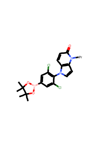 CC(C)n1c(=O)ccc2c1ccn2-c1c(Cl)cc(B2OC(C)(C)C(C)(C)O2)cc1Cl